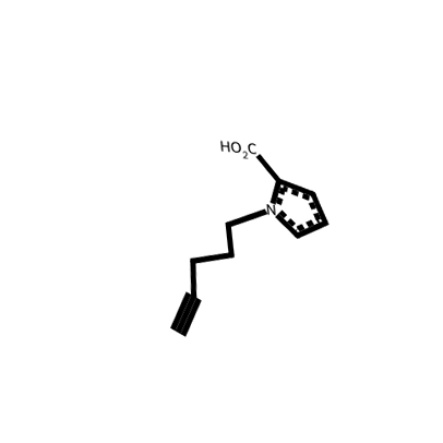 C#CCCCn1cccc1C(=O)O